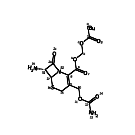 CC(C)(C)C(=O)OCOC(=O)C1=C(COC(N)=O)CSC2[C@H](N)C(=O)N12